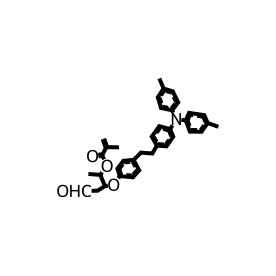 C=C(C)C(=O)OC(C)C(CC=O)Oc1ccc(CCc2ccc(N(c3ccc(C)cc3)c3ccc(C)cc3)cc2)cc1